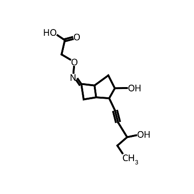 CCC(O)C#CC1C(O)CC2C(=NOCC(=O)O)CC21